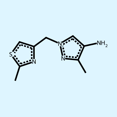 Cc1nc(Cn2cc(N)c(C)n2)cs1